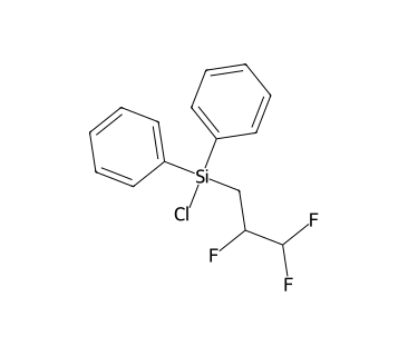 FC(F)C(F)C[Si](Cl)(c1ccccc1)c1ccccc1